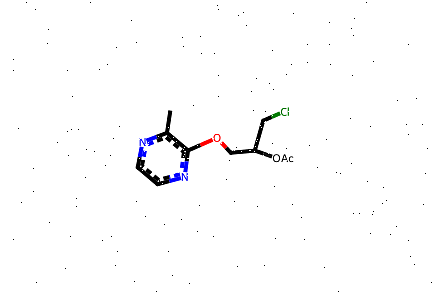 CC(=O)OC(CCl)COc1nccnc1C